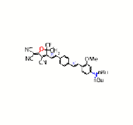 CCCCN(CCCC)c1ccc(/C=C/c2ccc(/C=C/C3=C(C#N)C(=C(C#N)C#N)OC3(C)C(F)(F)F)cc2)c(OC)c1